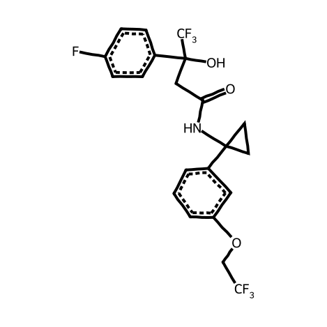 O=C(CC(O)(c1ccc(F)cc1)C(F)(F)F)NC1(c2cccc(OCC(F)(F)F)c2)CC1